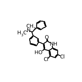 CN(C)C(c1ccccc1)c1cccc(-c2c(O)c3c(Cl)cc(Cl)cc3[nH]c2=O)c1